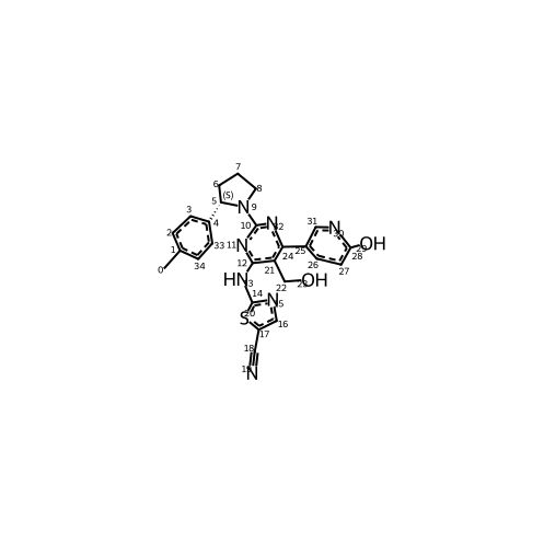 Cc1ccc([C@@H]2CCCN2c2nc(Nc3ncc(C#N)s3)c(CO)c(-c3ccc(O)nc3)n2)cc1